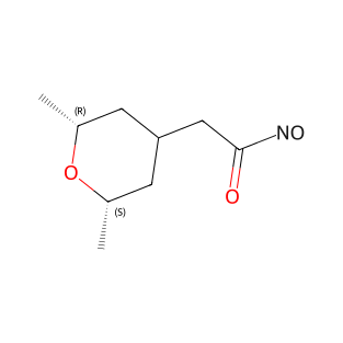 C[C@@H]1CC(CC(=O)N=O)C[C@H](C)O1